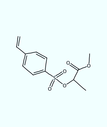 C=Cc1ccc(S(=O)(=O)OC(C)C(=O)OC)cc1